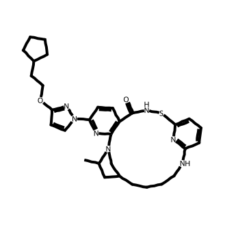 CC1CC2CCCCNc3cccc(n3)SNC(=O)c3ccc(-n4ccc(OCCC5CCCC5)n4)nc3N1C2